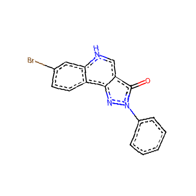 O=c1c2c[nH]c3cc(Br)ccc3c-2nn1-c1ccccc1